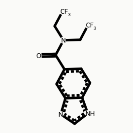 O=C(c1ccc2[nH]cnc2c1)N(CC(F)(F)F)CC(F)(F)F